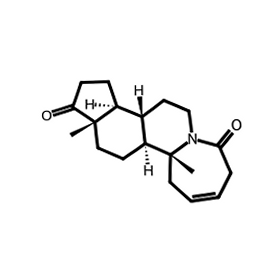 C[C@]12CC[C@H]3[C@@H](CCN4C(=O)CC=CC[C@]34C)[C@@H]1CCC2=O